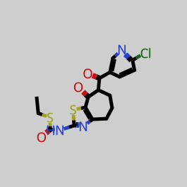 CCSC(=O)Nc1nc2c(s1)C(=O)C(C(=O)c1ccc(Cl)nc1)CCC2